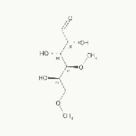 COC[C@@H](O)[C@H](OC)[C@H](O)[C@@H](O)C=O